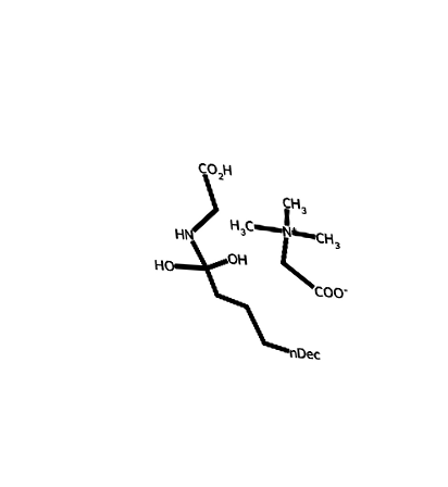 CCCCCCCCCCCCCC(O)(O)NCC(=O)O.C[N+](C)(C)CC(=O)[O-]